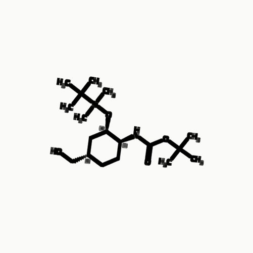 CC(C)(C)OC(=O)N[C@H]1CC[C@H](CO)C[C@H]1O[Si](C)(C)C(C)(C)C